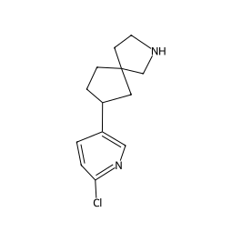 Clc1ccc(C2CCC3(CCNC3)C2)cn1